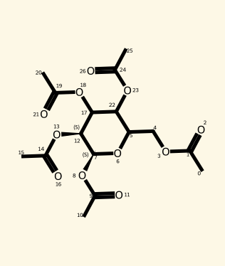 CC(=O)OCC1O[C@@H](OC(C)=O)[C@@H](OC(C)=O)C(OC(C)=O)C1OC(C)=O